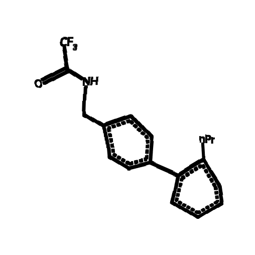 CCCc1ccccc1-c1ccc(CNC(=O)C(F)(F)F)cc1